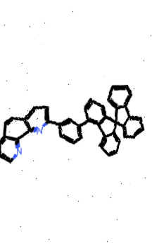 c1cc(-c2ccc3ccc4cccnc4c3n2)cc(-c2cccc3c2-c2ccccc2C32c3ccccc3-c3ccccc32)c1